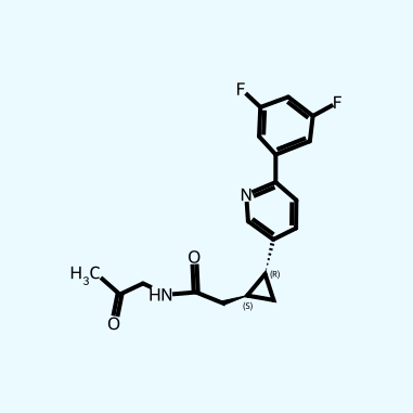 CC(=O)CNC(=O)C[C@@H]1C[C@H]1c1ccc(-c2cc(F)cc(F)c2)nc1